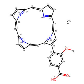 COc1cc(C(=O)O)ccc1C1=CC2=CC3=NC(=CC4=NC(=CC5=NC(=CC1=N2)C=C5)C=C4)C=C3.[Zn]